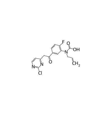 C=CCN(C(=O)O)c1cc(C(=O)Cc2ccnc(Cl)n2)ccc1F